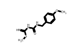 COc1ccc(CNC(=O)NC(=N)SC)cc1